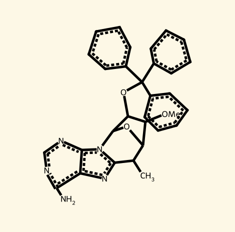 COC1C2OC(C1OC(c1ccccc1)(c1ccccc1)c1ccccc1)n1c(nc3c(N)ncnc31)C2C